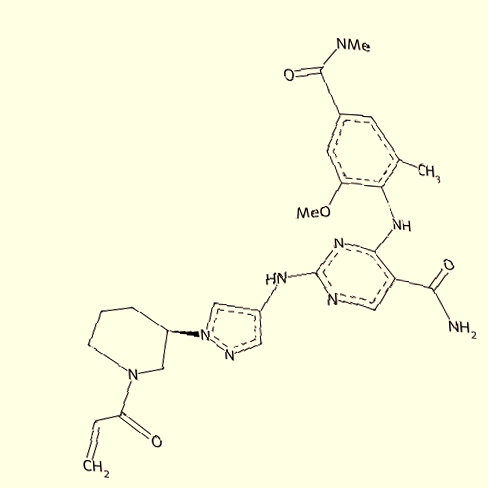 C=CC(=O)N1CCC[C@@H](n2cc(Nc3ncc(C(N)=O)c(Nc4c(C)cc(C(=O)NC)cc4OC)n3)cn2)C1